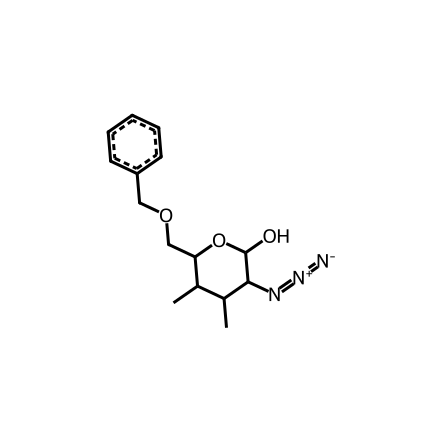 CC1C(COCc2ccccc2)OC(O)C(N=[N+]=[N-])C1C